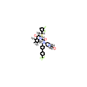 [2H]c1c(C)c([2H])c2c(=O)c([2H])c(SC([2H])([2H])c3cccc(F)c3F)n(C([2H])([2H])C(=O)N(Cc3ccc(-c4ccc(C(F)(F)F)cc4)cc3)C3CCN(C([2H])([2H])C([2H])([2H])OC)CC3)c2c1[2H]